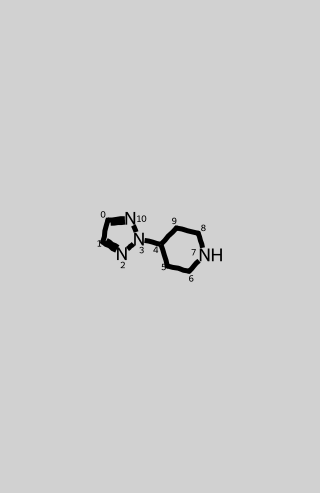 c1cnn(C2CCNCC2)n1